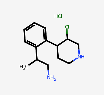 CC(CN)c1ccccc1C1CCNCC1Cl.Cl